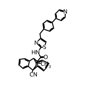 CC1(C(=O)Nc2nc(Cc3ccc(-c4ccncc4)cc3)cs2)CC2(C#N)c3ccccc3C1c1ccccc12